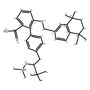 C[SiH](C)OC(Cc1ccc(-c2c(OCc3ccc4c(c3)C(C)(C)CCC4(C)C)cccc2C(=O)O)cc1)C(C)(C)C